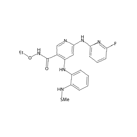 CCONC(=O)c1cnc(Nc2cccc(F)n2)cc1Nc1ccccc1NSC